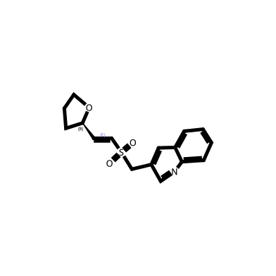 O=S(=O)(/C=C/[C@H]1CCCO1)Cc1cnc2ccccc2c1